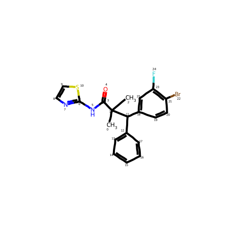 CC(C)(C(=O)Nc1nccs1)C(c1ccccc1)c1ccc(Br)c(F)c1